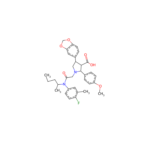 CCCC(C)N(C(=O)CN1CC(c2ccc3c(c2)OCO3)C(C(=O)O)C1c1ccc(OC)cc1)c1ccc(F)c(C)c1